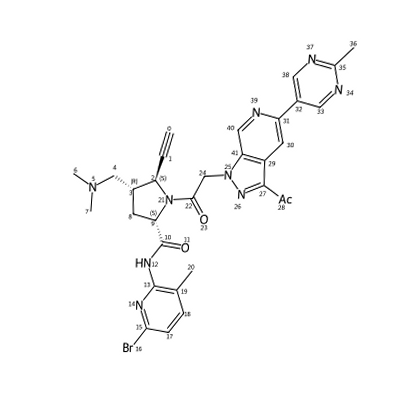 C#C[C@@H]1[C@@H](CN(C)C)C[C@@H](C(=O)Nc2nc(Br)ccc2C)N1C(=O)Cn1nc(C(C)=O)c2cc(-c3cnc(C)nc3)ncc21